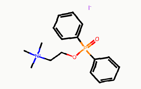 C[N+](C)(C)CCOP(=O)(c1ccccc1)c1ccccc1.[I-]